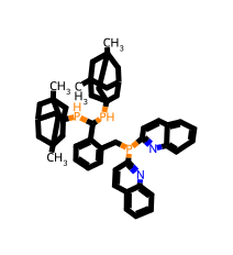 CC12CC3CC(C)(C1)CC(PC(PC14CC5CC(C)(CC(C)(C5)C1)C4)c1ccccc1CP(c1ccc4ccccc4n1)c1ccc4ccccc4n1)(C3)C2